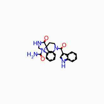 NC(=O)[N+]1(c2ccccc2)CNC(=O)C12CCN(C(=O)c1c[nH]c3ccccc13)CC2